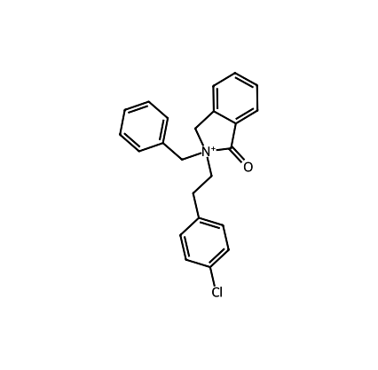 O=C1c2ccccc2C[N+]1(CCc1ccc(Cl)cc1)Cc1ccccc1